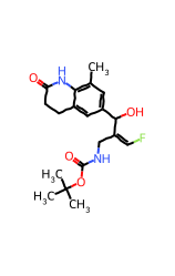 Cc1cc(C(O)/C(=C\F)CNC(=O)OC(C)(C)C)cc2c1NC(=O)CC2